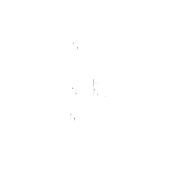 Cc1cnc(N(C)CCCN(C)C)c(NS(=O)(=O)C2CC2)c1